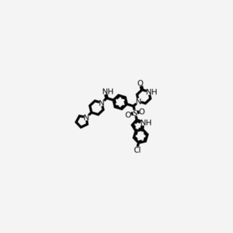 N=C(c1ccc(C(N2CCNC(=O)C2)S(=O)(=O)c2cc3cc(Cl)ccc3[nH]2)cc1)N1CCC(N2CCCC2)CC1